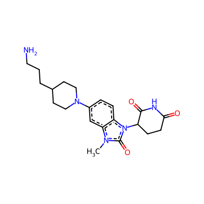 Cn1c(=O)n(C2CCC(=O)NC2=O)c2ccc(N3CCC(CCCN)CC3)cc21